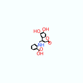 O=C(O)c1ccccc1NCc1cc(=O)oc2cc(O)c(O)cc12